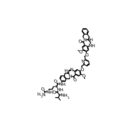 COc1cc2c(cc1OCc1cccc(COc3cc4c(cc3OC)C(=O)N3Cc5ccccc5C[C@H]3CN4)n1)N=C[C@@H]1Cc3ccc(NC(=O)[C@H](CCCNC(N)=O)NC(=O)[C@@H](N)C(C)C)cc3CN1C2=O